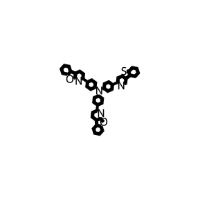 c1ccc2c(c1)oc1nc(-c3ccc(N(c4ccc(-c5cc6sc7ccccc7c6cn5)cc4)c4ccc(-c5ccc6c(n5)oc5ccccc56)cc4)cc3)ccc12